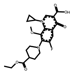 CCOC(=O)C1CCN(c2c(F)cc3c(=O)c(C(=O)O)cn(C4CC4)c3c2OC)CC1